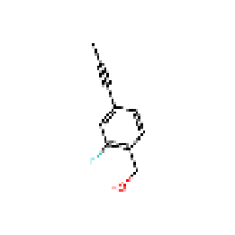 CC#Cc1ccc(CO)c(F)c1